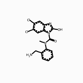 CN(C(=O)n1c(O)nc2cc(Cl)c(Cl)cc21)c1ccccc1CN